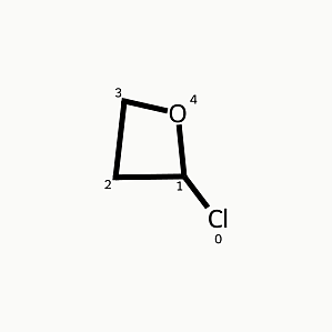 ClC1CCO1